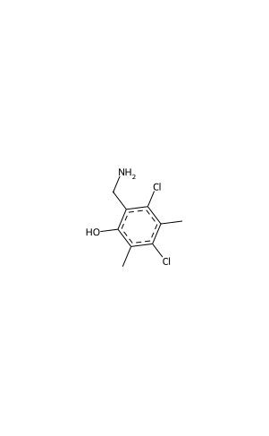 Cc1c(O)c(CN)c(Cl)c(C)c1Cl